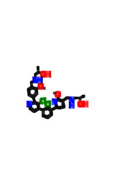 COc1cc(-c2nccc(-c3cccc(-c4ccc(CNC[C@@H](C)O)c(OC)n4)c3Cl)c2Cl)ccc1CNC[C@@H](C)O